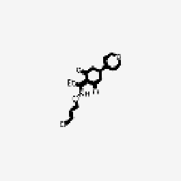 CCC(NOCC=CCl)=C1C(=O)CC(C2CCOCC2)CC1=O